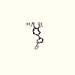 CCc1cc(-c2ccc(Cl)s2)ccc1N